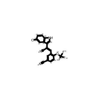 N#C/C(=C\c1cc(C#N)ccc1OC(F)(F)F)c1c[nH]c2ccc(Cl)cc12